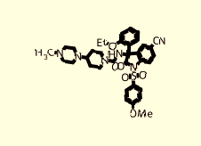 CCOc1ccccc1C1(NC(=O)N2CCC(N3CCN(C)CC3)CC2)C(=O)N(S(=O)(=O)c2ccc(OC)cc2)c2ccc(C#N)cc21